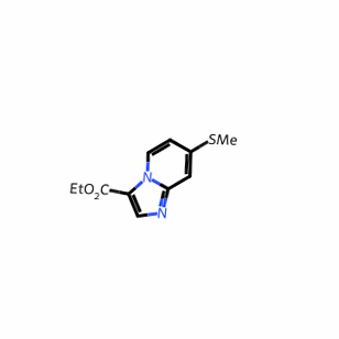 CCOC(=O)c1cnc2cc(SC)ccn12